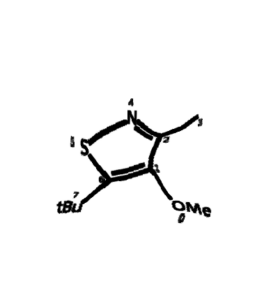 COc1c(C)nsc1C(C)(C)C